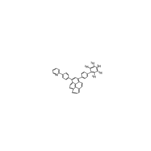 [2H]c1c([2H])c([2H])c(-c2ccc(-c3cc(-c4ccc(-c5ccccn5)cc4)c4ccc5cccc6ccc3c4c56)cc2)c([2H])c1[2H]